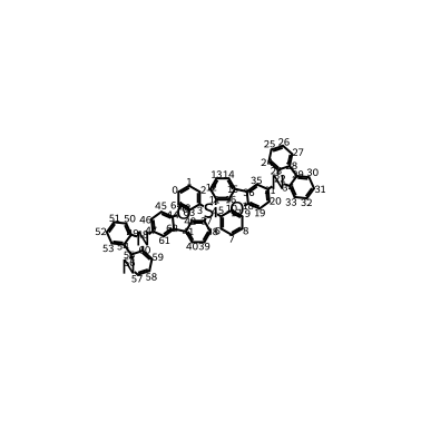 c1ccc([Si](c2ccccc2)(c2cccc3c2oc2ccc(-n4c5ccccc5c5ccccc54)cc23)c2cccc3c2oc2ccc(-n4c5ccccc5c5ncccc54)cc23)cc1